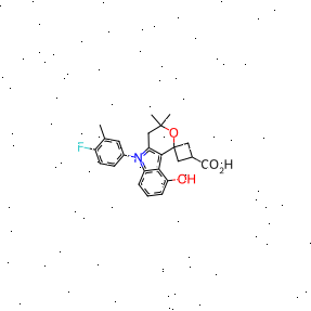 Cc1cc(-n2c3c(c4c(O)cccc42)C2(CC(C(=O)O)C2)OC(C)(C)C3)ccc1F